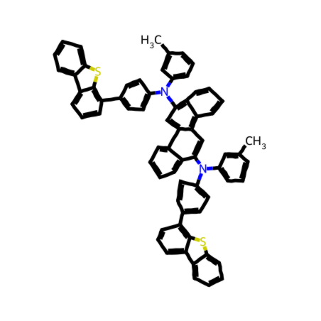 Cc1cccc(N(c2ccc(-c3cccc4c3sc3ccccc34)cc2)c2cc3c4ccccc4c(N(c4ccc(-c5cccc6c5sc5ccccc56)cc4)c4cccc(C)c4)cc3c3ccccc23)c1